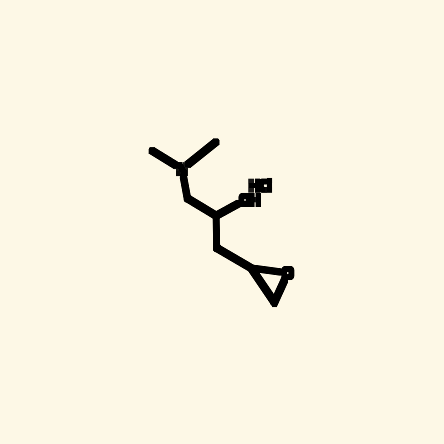 CN(C)CC(O)CC1CO1.Cl